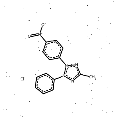 Cc1nn(-c2ccc([N+](=O)[O-])cc2)[n+](-c2ccccc2)n1.[Cl-]